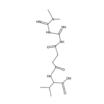 CC(C)C(NC(=O)CCC(=O)NC(=N)NC(=N)N(C)C)C(=O)O